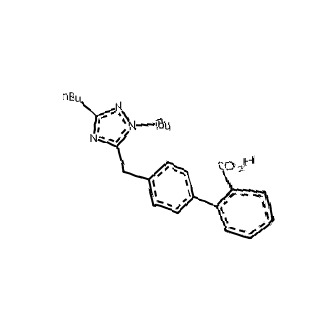 CCCCc1nc(Cc2ccc(-c3ccccc3C(=O)O)cc2)n(C(C)CC)n1